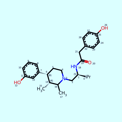 CC(C)[C@@H](CN1CC[C@@H](c2cccc(O)c2)[C@@H](C)C1C)NC(=O)Cc1ccc(O)cc1